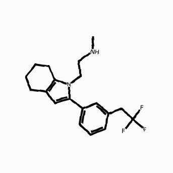 CNCCn1c(-c2cccc(CC(F)(F)F)c2)cc2c1CCCC2